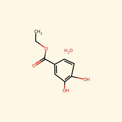 CCOC(=O)c1ccc(O)c(O)c1.O